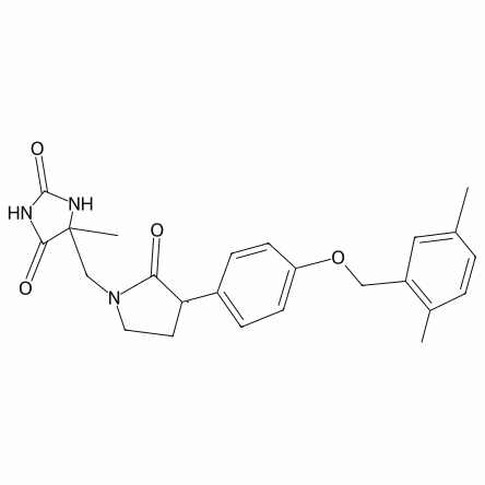 Cc1ccc(C)c(COc2ccc([C]3CCN(CC4(C)NC(=O)NC4=O)C3=O)cc2)c1